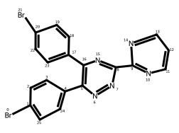 Brc1ccc(-c2nnc(-c3ncccn3)nc2-c2ccc(Br)cc2)cc1